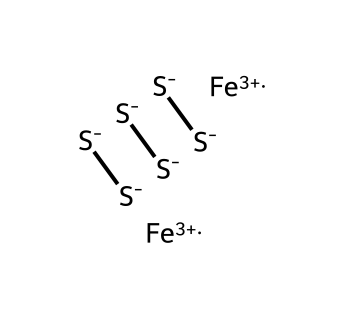 [Fe+3].[Fe+3].[S-][S-].[S-][S-].[S-][S-]